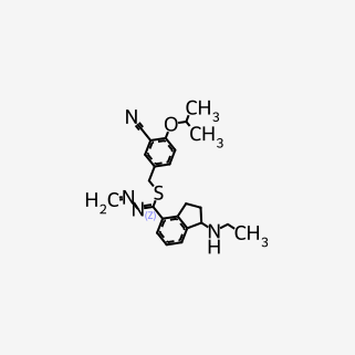 C=N/N=C(\SCc1ccc(OC(C)C)c(C#N)c1)c1cccc2c1CCC2NCC